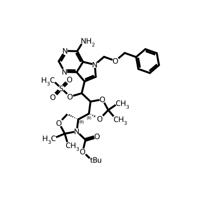 CC(C)(C)OC(=O)N1[C@@H]([C@H]2OC(C)(C)OC2C(OS(C)(=O)=O)c2cn(COCc3ccccc3)c3c(N)ncnc23)COC1(C)C